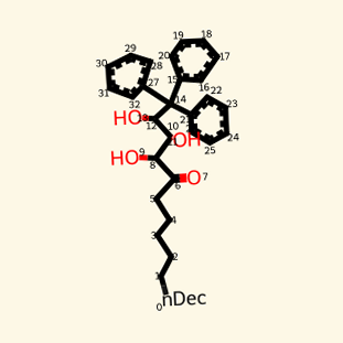 CCCCCCCCCCCCCCCC(=O)C(O)C(O)C(O)C(c1ccccc1)(c1ccccc1)c1ccccc1